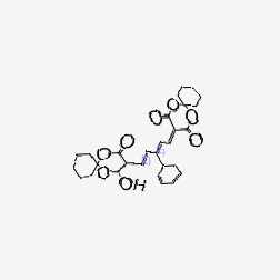 O=C1OC2(CCCCC2)OC(=O)C1=C/C=C(/C=C/C1C(=O)OC2(CCCCC2)OC1O)C1C=CC=CC1